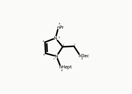 CCCCCCCCCCCC1N(CCC)C=CN1CCCCCCC